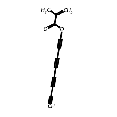 C#CC#CC#CC#COC(=O)C(=C)C